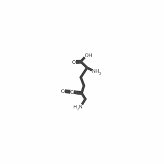 NCC(=C=O)CCC(N)C(=O)O